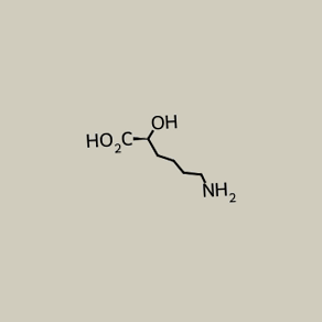 NCCCC[C@H](O)C(=O)O